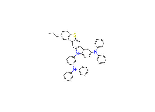 CCCc1ccc2sc3cc4c5cc(N(c6ccccc6)c6ccccc6)ccc5n(-c5cccc(N(c6ccccc6)c6ccccc6)c5)c4cc3c2c1